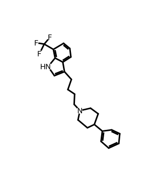 FC(F)(F)c1cccc2c(CCCCN3CCC(c4ccccc4)CC3)c[nH]c12